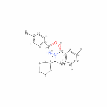 CCCC(C1CCCCC1)N(NC(=O)c1ccc(CC)cc1)C(=O)c1cc(C)cc(C)c1